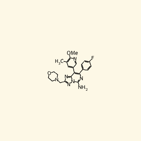 COc1ncc(-c2c(-c3ccc(F)cc3)nc(N)n3nc(CN4CCOCC4)nc23)cc1C